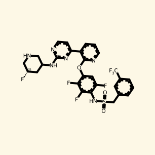 O=S(=O)(Cc1cccc(C(F)(F)F)c1)Nc1c(F)cc(Oc2ncccc2-c2ccnc(NC3CNC[C@@H](F)C3)n2)c(F)c1F